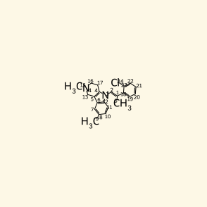 C/C(=C\n1c2c(c3cc(C)ccc31)CN(C)CC2)c1ccccc1Cl